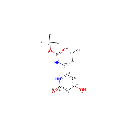 CCC[C@@H](NC(=O)OC(C)(C)C)c1cc(O)cc(=O)[nH]1